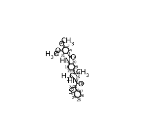 COc1ccc(C(=O)Nc2ccc(C(C)(C)CNC(=O)c3csc4ccccc34)cc2)cc1OC